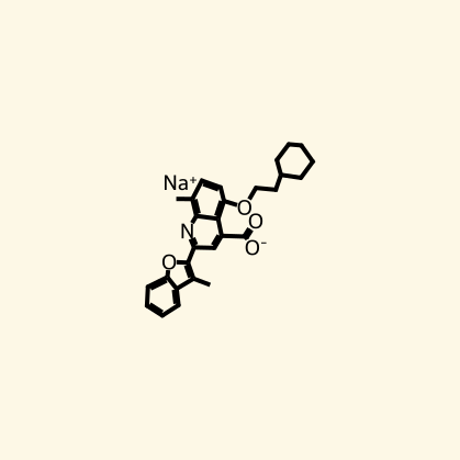 Cc1c(-c2cc(C(=O)[O-])c3c(OCCC4CCCCC4)ccc(C)c3n2)oc2ccccc12.[Na+]